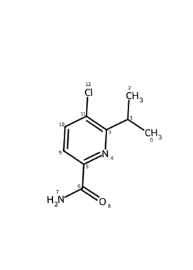 CC(C)c1nc(C(N)=O)ccc1Cl